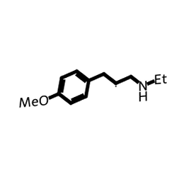 CCNC[CH]Cc1ccc(OC)cc1